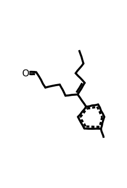 CCC/C=C(\CCCC=O)c1ccc(C)cc1